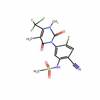 Cc1c(C(F)(F)F)n(C)c(=O)n(-c2cc(NS(C)(=O)=O)c(C#N)cc2F)c1=O